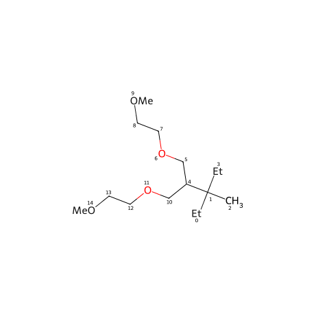 CCC(C)(CC)C(COCCOC)COCCOC